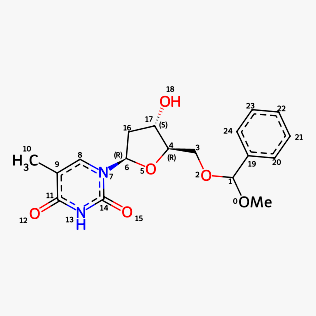 COC(OC[C@H]1O[C@@H](n2cc(C)c(=O)[nH]c2=O)C[C@@H]1O)c1ccccc1